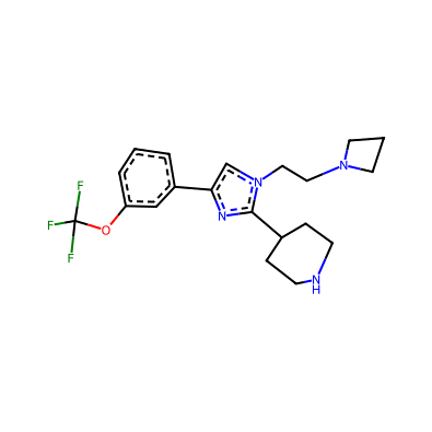 FC(F)(F)Oc1cccc(-c2cn(CCN3CCC3)c(C3CCNCC3)n2)c1